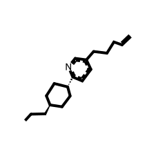 C=CCCCc1ccc([C@H]2CC[C@H](CCC)CC2)nc1